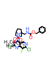 CC(C)(C)OC(=O)N1C2CCC1(CNC(=O)OCc1ccccc1)CN(c1nc(Cl)nc3c(F)c(Cl)ncc13)C2